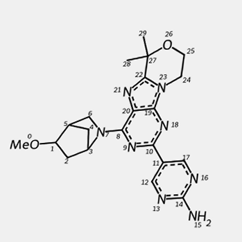 COC1CC2CC1CN2c1nc(-c2cnc(N)nc2)nc2c1nc1n2CCOC1(C)C